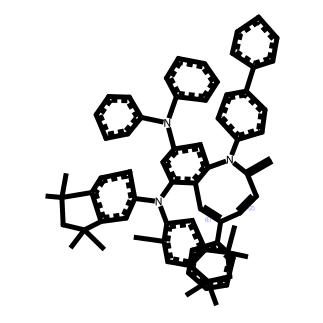 C=C1/C=C\C(c2ccccc2)=C/c2c(cc(N(c3ccccc3)c3ccccc3)cc2N(c2ccc3c(c2)C(C)(C)CC3(C)C)c2cc3c(cc2C)C(C)(C)CC3(C)C)N1c1ccc(-c2ccccc2)cc1